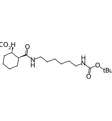 CC(C)(C)OC(=O)NCCCCCCNC(=O)[C@H]1CCCC[C@H]1C(=O)O